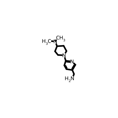 CN(C)C1CCN(c2ccc(CN)cn2)CC1